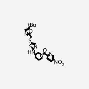 CC(C)(C)c1cnc(CSc2cnc(NC3CCCN(C(=O)c4ccc([N+](=O)[O-])cn4)C3)s2)o1